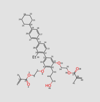 C=C(C)C(=O)OCCOc1cc(-c2ccc(-c3ccc(C4CCCCC4)cc3)cc2CC)cc(OCCOC(=O)C(=C)C)c1CCCO